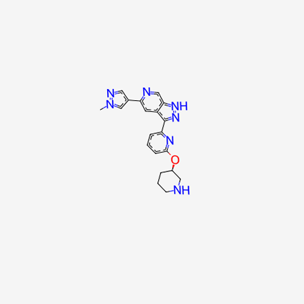 Cn1cc(-c2cc3c(-c4cccc(O[C@@H]5CCCNC5)n4)n[nH]c3cn2)cn1